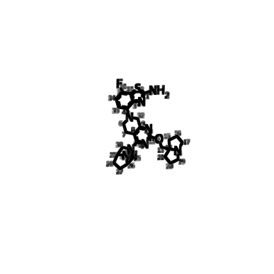 Nc1nc2c(N3CCc4c(nc(OCC56CCCN5CCC6)nc4N4CC5CCC(C4)N5)C3)ccc(F)c2s1